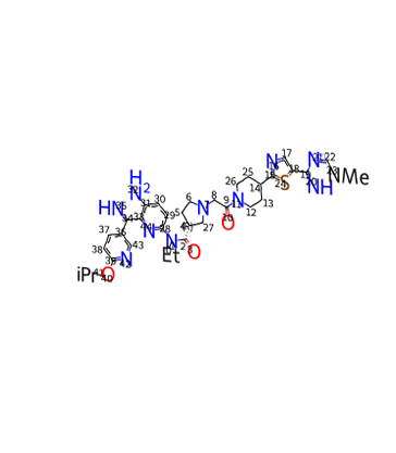 CCN(C(=O)[C@@H]1CCN(CC(=O)N2CCC(c3ncc(C(=N)/N=C\NC)s3)CC2)C1)c1ccc(N)c(C(=N)c2ccc(OC(C)C)nc2)n1